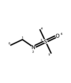 CCN=S(C)(C)=O